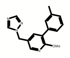 COc1ncc(Cn2cncn2)cc1-c1cccc(C)c1